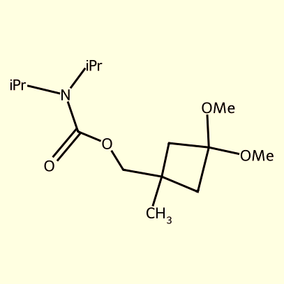 COC1(OC)CC(C)(COC(=O)N(C(C)C)C(C)C)C1